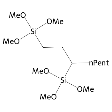 CCCCCC(CC[Si](OC)(OC)OC)[Si](OC)(OC)OC